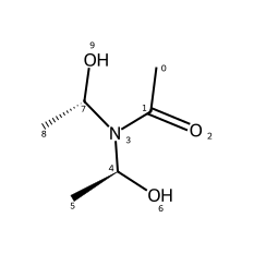 CC(=O)N([C@H](C)O)[C@H](C)O